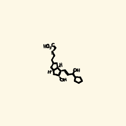 O=C(O)CSCCC1C[C@@H]2C[C@@H](O)[C@H](C=CC(O)C3CCCC3)[C@@H]2C1